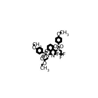 CCOC(=O)CN(c1ncc(N(CC(F)(F)F)S(=O)(=O)c2ccc(OC)cc2)c2ccccc12)S(=O)(=O)c1ccc(OC)cc1